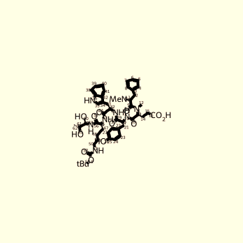 CN[C@@H](Cc1ccccc1)C(=O)N(C)[C@@H](CCC(=O)O)C(=O)N[C@@H](Cc1ccc(O)cc1)C(=O)N[C@H](Cc1c[nH]c2ccccc12)C(=O)N[C@@H](CCCCNC(=O)OC(C)(C)C)C(=O)N[C@H](O)[C@@H](C)O